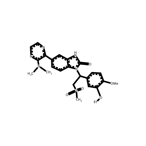 CCOc1cc(C(CS(C)(=O)=O)n2c(=O)[nH]c3cc(-c4nccnc4N(C)C)ccc32)ccc1OC